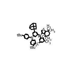 CC(C)(C)c1ccc(N(c2ccc(C(C)(C)C)cc2)c2cc(N(c3cc(C(F)(F)F)cc(C(F)(F)F)c3)c3csc4c3C(C)(C)CCC4(C)C)cc(C34CC5CC6CC(C3)C64C5)c2)cc1